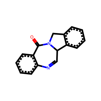 O=C1c2ccccc2N=CC2c3ccccc3CN12